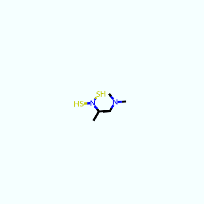 CC(CN(C)C)N(S)S